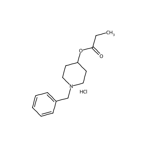 CCC(=O)OC1CCN(Cc2ccccc2)CC1.Cl